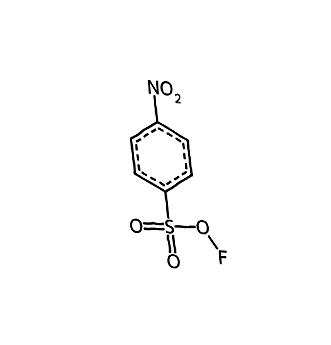 O=[N+]([O-])c1ccc(S(=O)(=O)OF)cc1